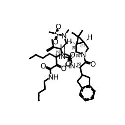 C=C(C)[C@@H](CN(C)S(C)(=O)=O)NC(=O)N[C@H](C(=O)N1C[C@H]2[C@@H]([C@H]1C(=O)NC(CCCC)C(=O)C(=O)NCCCC)C2(C)C)C1Cc2ccccc2C1